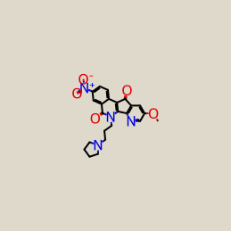 COc1cnc2c(c1)C(=O)c1c-2n(CCCN2CCCC2)c(=O)c2cc([N+](=O)[O-])ccc12